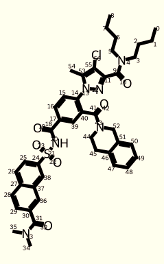 CCCCN(CCCC)C(=O)c1nn(-c2ccc(C(=O)NS(=O)(=O)c3ccc4ccc(C(=O)N(C)C)cc4c3)cc2C(=O)N2CCc3ccccc3C2)c(C)c1Cl